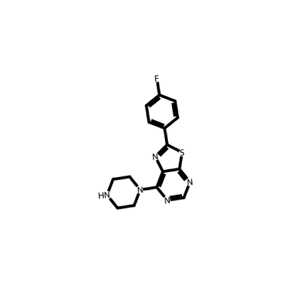 Fc1ccc(-c2nc3c(N4CCNCC4)ncnc3s2)cc1